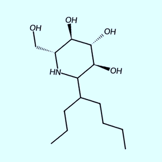 CCCCC(CCC)C1N[C@H](CO)[C@@H](O)[C@H](O)[C@H]1O